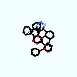 c1ccc(-c2ccccc2-c2ccc3[se]c4ccccc4c3c2-c2c(-c3ccccc3)cccc2-c2nnnc(-c3ccccc3)c2-c2ccccc2)cc1